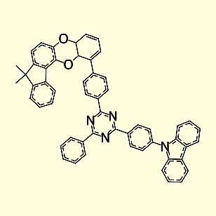 CC1(C)c2ccccc2-c2c1ccc1c2OC2C(c3ccc(-c4nc(-c5ccccc5)nc(-c5ccc(-n6c7ccccc7c7ccccc76)cc5)n4)cc3)=CC=CC2O1